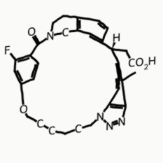 Cc1c2ccc3c1nnn3CCCCCCOc1ccc(c(F)c1)C(=O)N1CCc3ccc(cc3C1)[C@@H]2CC(=O)O